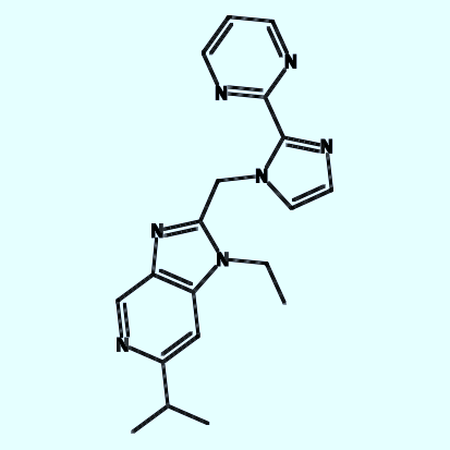 CCn1c(Cn2ccnc2-c2ncccn2)nc2cnc(C(C)C)cc21